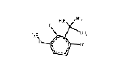 BC(B)(B)c1c(Br)ccc(OC(F)(F)F)c1F